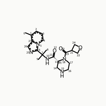 Cc1cccn2c(C(C)(C)NC(=O)[C@H]3CNCCN3C(=O)C3COC3)ncc12